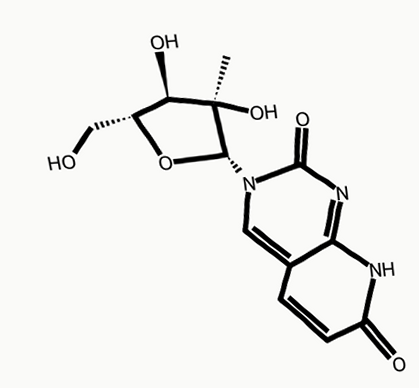 C[C@@]1(O)[C@H](O)[C@@H](CO)O[C@H]1n1cc2ccc(=O)[nH]c2nc1=O